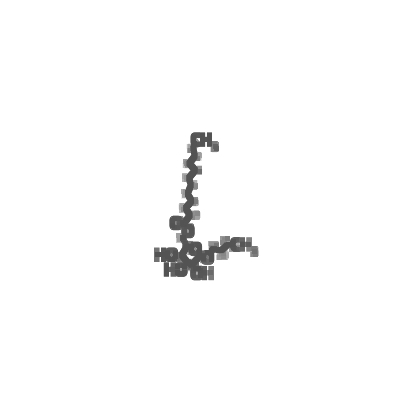 CCCCCCCCCCCC(=O)OC[C@H]1OC(OCCCC)[C@H](O)[C@@H](O)[C@@H]1O